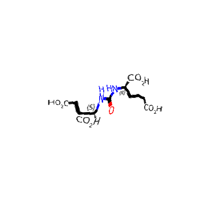 O=C(O)CC[C@H](NC(=O)N[C@H](CCC(=O)O)C(=O)O)C(=O)O